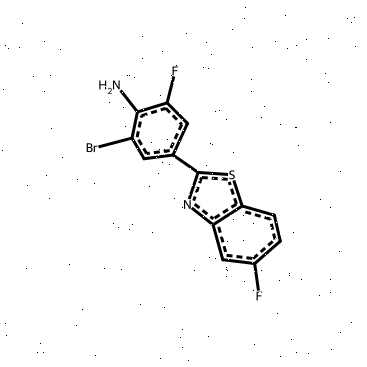 Nc1c(F)cc(-c2nc3cc(F)ccc3s2)cc1Br